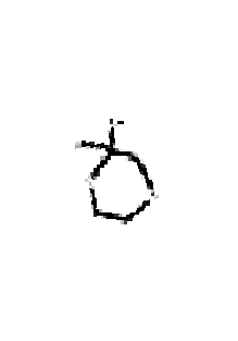 CC1(S)CSCCS1